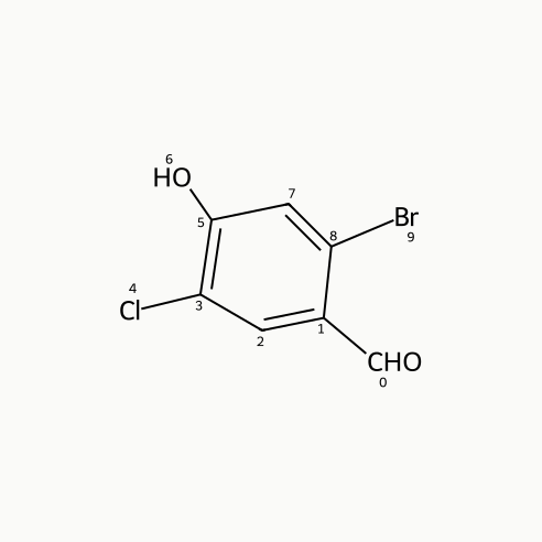 O=Cc1cc(Cl)c(O)cc1Br